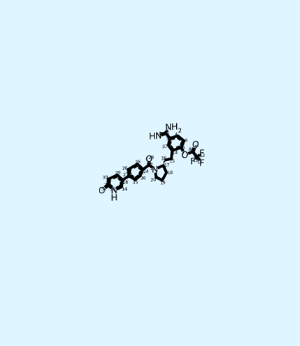 N=C(N)c1ccc(OC(=O)C(F)(F)F)c(CC[C@@H]2CCCN2C(=O)c2ccc(-c3ccc(=O)[nH]c3)cc2)c1